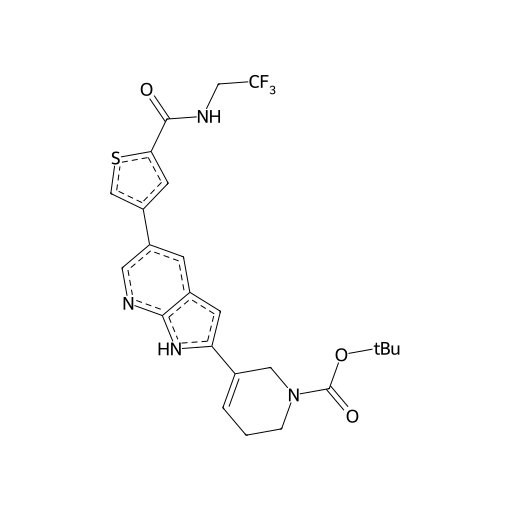 CC(C)(C)OC(=O)N1CCC=C(c2cc3cc(-c4csc(C(=O)NCC(F)(F)F)c4)cnc3[nH]2)C1